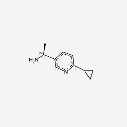 C[C@H](N)c1ccc(C2CC2)nc1